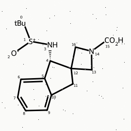 CC(C)(C)[S+]([O-])N[C@H]1c2ccccc2CC12CN(C(=O)O)C2